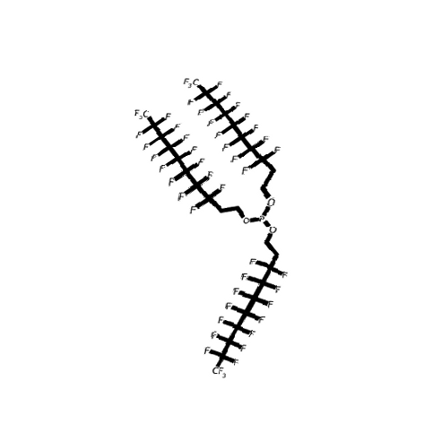 FC(F)(F)C(F)(F)C(F)(F)C(F)(F)C(F)(F)C(F)(F)C(F)(F)C(F)(F)CCOP(OCCC(F)(F)C(F)(F)C(F)(F)C(F)(F)C(F)(F)C(F)(F)C(F)(F)C(F)(F)F)OCCC(F)(F)C(F)(F)C(F)(F)C(F)(F)C(F)(F)C(F)(F)C(F)(F)C(F)(F)F